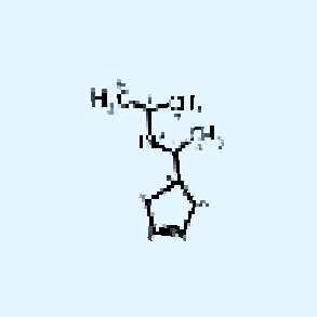 CC(C)NC(C)C1CC=CC1